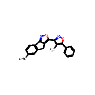 O=Cc1ccc2c(c1)Cc1c-2noc1-c1noc(-c2ccccc2)c1C(F)(F)F